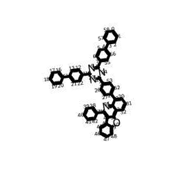 c1ccc(-c2ccc(-c3nc(-c4ccc(-c5ccccc5)cc4)nc(-c4ccc(-c5cccc6c5nc(-c5ccccc5)c5c7ccccc7oc65)cc4)n3)cc2)cc1